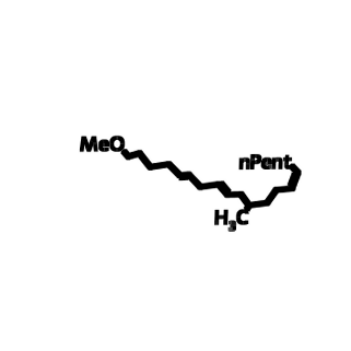 CCCCC/C=C\CCC(C)C/C=C/C/C=C/CCCCOC